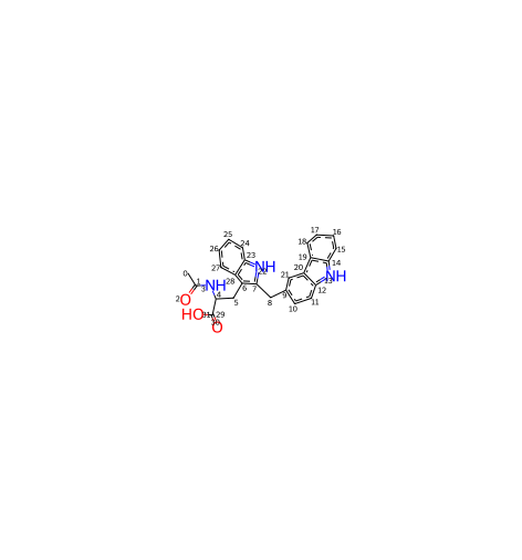 CC(=O)NC(Cc1c(Cc2ccc3[nH]c4ccccc4c3c2)[nH]c2ccccc12)C(=O)O